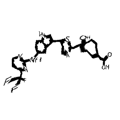 O=C(O)C1CCC(O)(c2ncc(-c3c[nH]c4ccc(Nc5nccc(C(F)(F)F)n5)cc34)s2)CC1